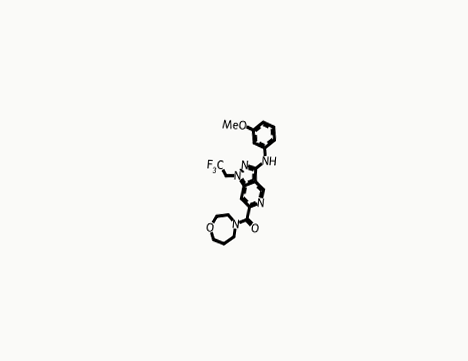 COc1cccc(Nc2nn(CC(F)(F)F)c3cc(C(=O)N4CCCOCC4)ncc23)c1